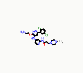 CN1CCN(CCC(=O)Nc2cc(Nc3cc(-c4cc(Cl)ccc4F)nnc3OCCN)ccn2)CC1